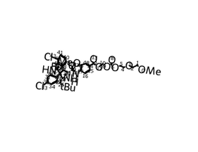 COCCOCCOC(=O)OCOC(=O)c1ccc(NC(=O)[C@@H]2N[C@@H](CC(C)(C)C)C3(C(=O)Nc4cc(Cl)ccc43)[C@H]2c2cccc(Cl)c2F)c(OC)c1